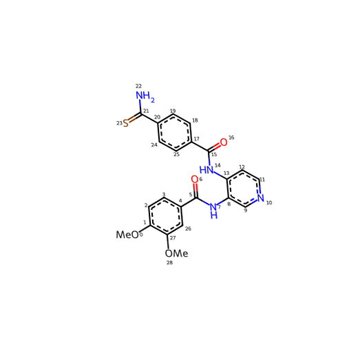 COc1ccc(C(=O)Nc2cnccc2NC(=O)c2ccc(C(N)=S)cc2)cc1OC